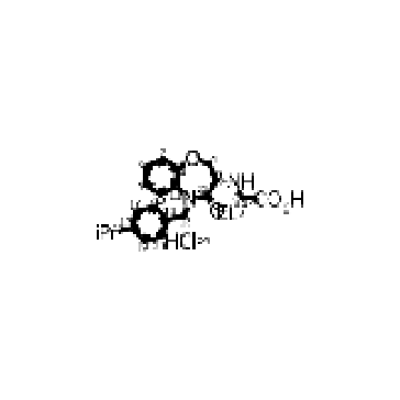 CC[C@H](N[C@H]1COc2ccccc2N(Cc2ccc(C(C)C)cc2)C1=O)C(=O)O.Cl